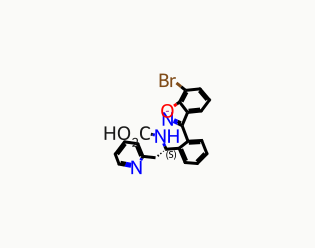 O=C(O)N[C@@H](Cc1ccccn1)c1ccccc1-c1noc2c(Br)cccc12